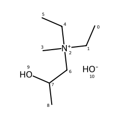 CC[N+](C)(CC)CC(C)O.[OH-]